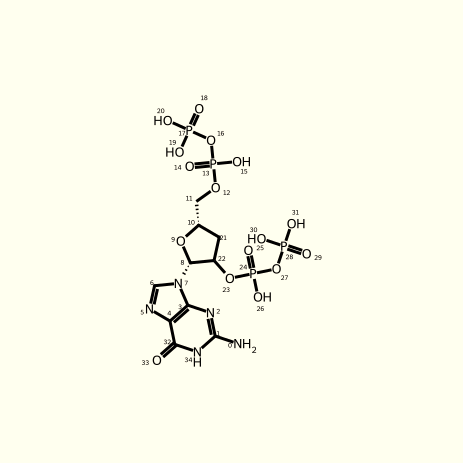 Nc1nc2c(ncn2[C@@H]2O[C@H](COP(=O)(O)OP(=O)(O)O)CC2OP(=O)(O)OP(=O)(O)O)c(=O)[nH]1